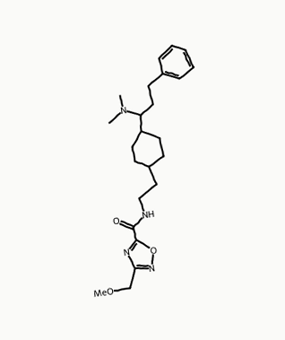 COCc1noc(C(=O)NCCC2CCC(C(CCc3ccccc3)N(C)C)CC2)n1